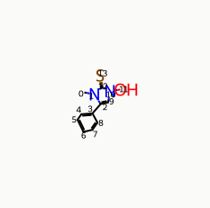 Cn1c(-c2ccccc2)cn(O)c1=S